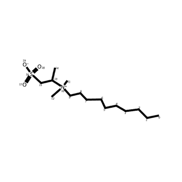 CCCCCCCCCC[N+](C)(C)C(C)CS(=O)(=O)[O-]